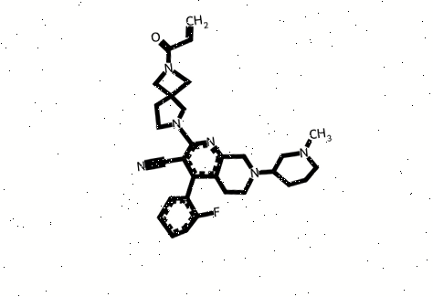 C=CC(=O)N1CC2(CCN(c3nc4c(c(-c5ccccc5F)c3C#N)CCN(C3CCCN(C)C3)C4)C2)C1